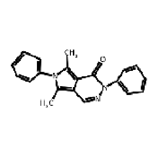 Cc1c2cnn(-c3ccccc3)c(=O)c2c(C)n1-c1ccccc1